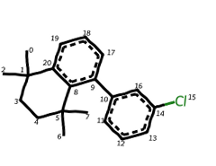 CC1(C)CCC(C)(C)c2c(-c3cccc(Cl)c3)cccc21